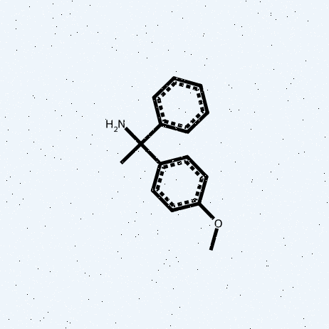 COc1ccc(C(C)(N)c2ccccc2)cc1